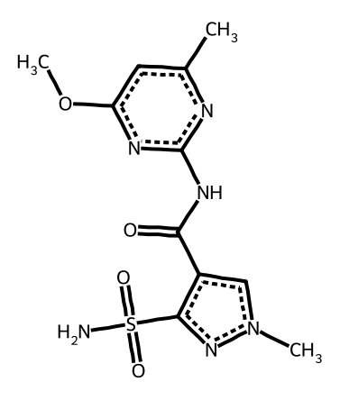 COc1cc(C)nc(NC(=O)c2cn(C)nc2S(N)(=O)=O)n1